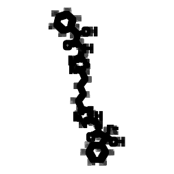 CC[C@](O)(C(=O)Nc1nnc(CCCCc2nnc(NC(=O)[C@H](O)c3ccccc3)s2)s1)c1ccccc1